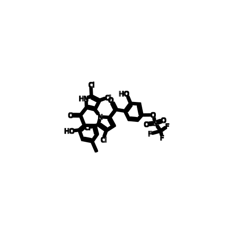 Cc1ccc(C(=O)c2[nH]c(Cl)c(Cl)c2-n2c(C(=O)c3ccc(OS(=O)(=O)C(F)(F)F)cc3O)cc(Cl)c2Cl)c(O)c1